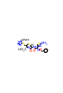 CCCCCCn1nnnc1SCC1=C(C(=O)O)N2C(=O)C(NC(=O)/C(=N/OCc3ccccc3)c3csc(N)n3)[C@H]2SC1